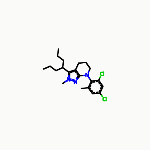 CCCC(CCC)c1c2c(nn1C)N(c1c(C)cc(Cl)cc1Cl)CCC2